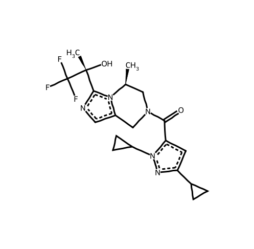 C[C@H]1CN(C(=O)c2cc(C3CC3)nn2C2CC2)Cc2cnc([C@@](C)(O)C(F)(F)F)n21